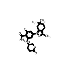 Cc1nn(-c2cc(F)c(C(N)=O)c(NC3CCC(=O)OC3)c2)c2c1CCC(C)(C)C2